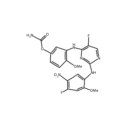 COc1cc(F)c([N+](=O)[O-])cc1Nc1ncc(F)c(Nc2cc(OC(N)=O)ccc2OC)n1